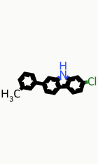 Cc1cccc(-c2ccc3c(c2)[nH]c2cc(Cl)ccc23)c1